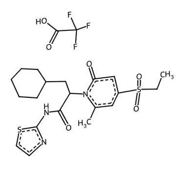 CCS(=O)(=O)c1cc(C)n(C(CC2CCCCC2)C(=O)Nc2nccs2)c(=O)c1.O=C(O)C(F)(F)F